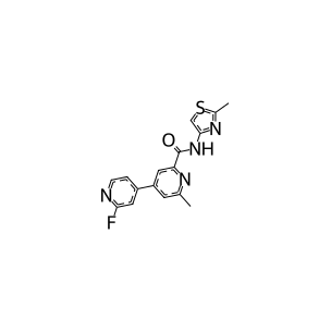 Cc1cc(-c2ccnc(F)c2)cc(C(=O)Nc2csc(C)n2)n1